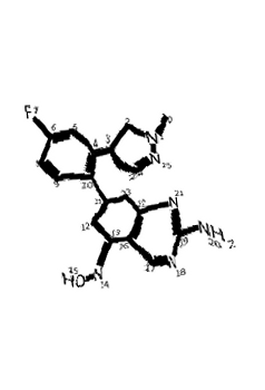 CN1CC(c2cc(F)ccc2C2C/C(=N\O)c3cnc(N)nc3C2)C=N1